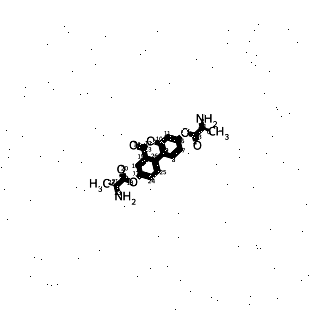 C[C@H](N)C(=O)Oc1ccc2c(c1)oc(=O)c1cc(OC(=O)[C@@H](C)N)ccc12